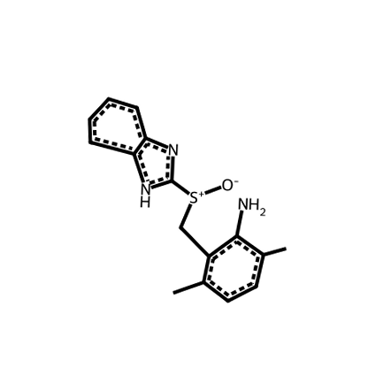 Cc1ccc(C)c(C[S+]([O-])c2nc3ccccc3[nH]2)c1N